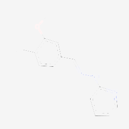 COc1cc(/C=N/Nc2ccccn2)ccc1C